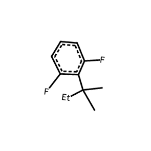 CCC(C)(C)c1c(F)cccc1F